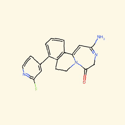 NC1=NCC(=O)N2CCc3c(cccc3-c3ccnc(F)c3)C2=C1